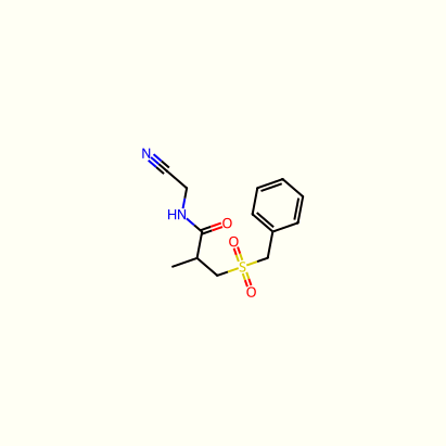 CC(CS(=O)(=O)Cc1ccccc1)C(=O)NCC#N